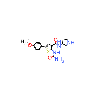 COc1ccc(-c2cc(C(=O)NC3CCNC3)c(NC(N)=O)s2)cc1